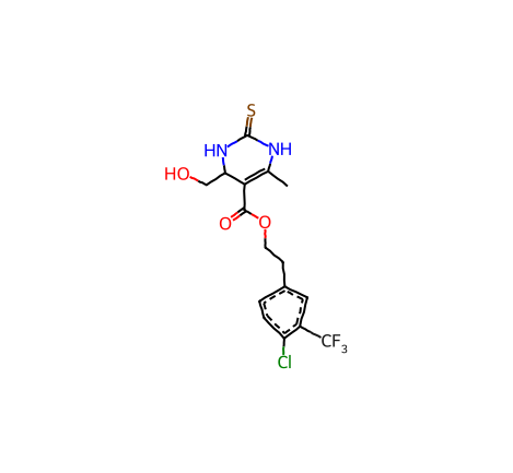 CC1=C(C(=O)OCCc2ccc(Cl)c(C(F)(F)F)c2)C(CO)NC(=S)N1